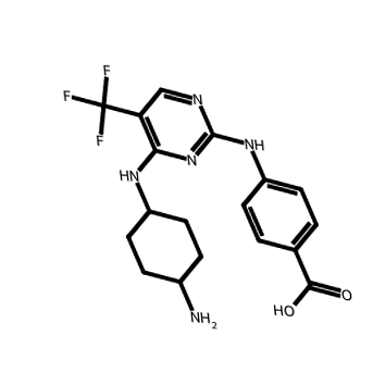 NC1CCC(Nc2nc(Nc3ccc(C(=O)O)cc3)ncc2C(F)(F)F)CC1